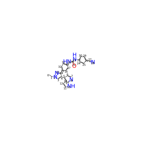 CCn1cc(-c2ccnc3[nH]ccc23)c(-c2ccc(NC(=O)Nc3ccc(C#N)cc3)cc2)n1